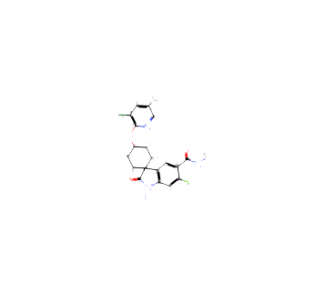 CCNC(=O)c1cc2c(cc1F)NC(=O)C21CCC(Oc2ncc(Cl)cc2Cl)CC1